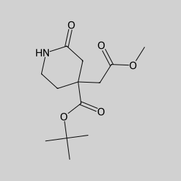 COC(=O)CC1(C(=O)OC(C)(C)C)CCNC(=O)C1